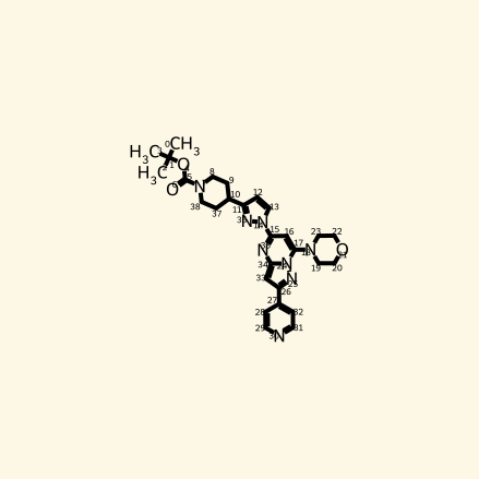 CC(C)(C)OC(=O)N1CCC(c2ccn(-c3cc(N4CCOCC4)n4nc(-c5ccncc5)cc4n3)n2)CC1